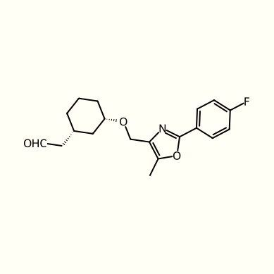 Cc1oc(-c2ccc(F)cc2)nc1CO[C@H]1CCC[C@@H](CC=O)C1